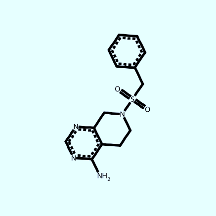 Nc1ncnc2c1CCN(S(=O)(=O)Cc1ccccc1)C2